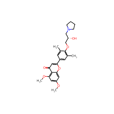 COc1cc(OC)c2c(=O)cc(-c3cc(C)c(OC[C@@H](O)CN4CCCC4)c(C)c3)oc2c1